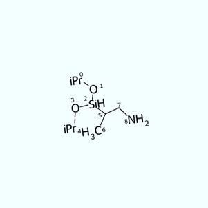 CC(C)O[SiH](OC(C)C)C(C)CN